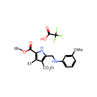 CCOC(=O)c1c(CNc2cccc(OC)c2)[nH]c(C(=O)OC(C)(C)C)c1CC.O=C(O)C(F)(F)F